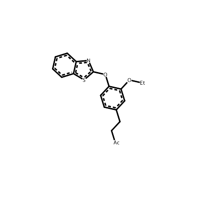 CCOc1cc(CCC(C)=O)ccc1Oc1nc2ccccc2s1